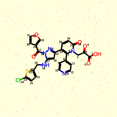 O=C(O)C(=O)Cn1c(-c2ccncc2)c(-c2cc(NCc3ccc(Cl)s3)n(C(=O)c3ccoc3)n2)ccc1=O